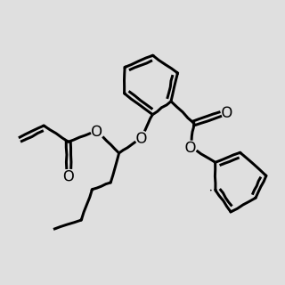 C=CC(=O)OC(CCCC)Oc1ccccc1C(=O)Oc1[c]cccc1